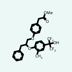 COC(=O)Cc1ccc(OCC(Cc2ccccc2)Oc2ccc(C(O)(C(F)(F)F)C(F)(F)F)cc2C)cc1